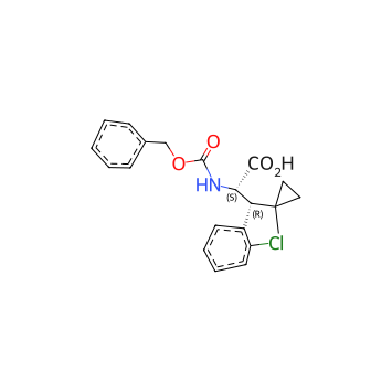 CC1([C@H](c2ccccc2Cl)[C@H](NC(=O)OCc2ccccc2)C(=O)O)CC1